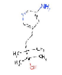 CC(C)(CCc1cncc(N)c1)[Si](C)(C)O